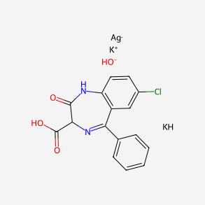 O=C(O)C1N=C(c2ccccc2)c2cc(Cl)ccc2NC1=O.[Ag].[K+].[KH].[OH-]